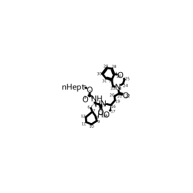 CCCCCCCOC(=O)N[C@@H](CC1CCCCC1)C(=O)N[C@H](CO)CCC(=O)N1CCOc2ccccc2C1